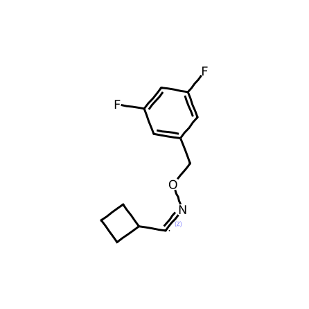 Fc1cc(F)cc(CO/N=[C]\C2CCC2)c1